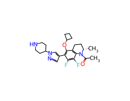 CC(=O)N1c2c(F)c(F)c(-c3cnn(C4CCNCC4)c3)c(OC3CCC3)c2CC[C@@H]1C